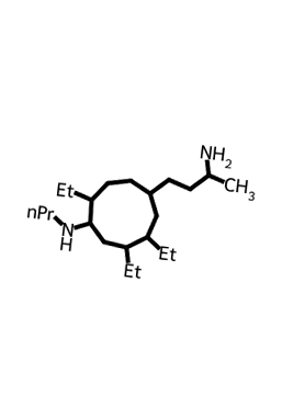 CCCNC1CC(CC)C(CC)CC(CCC(C)N)CCC1CC